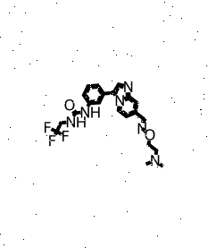 CN(C)CCO/N=C/c1ccn2c(-c3cccc(NC(=O)NCC(F)(F)F)c3)cnc2c1